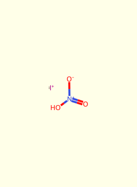 O=[N+]([O-])O.[I+]